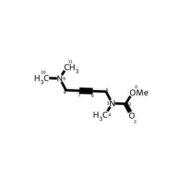 COC(=O)N(C)CC#CCN(C)C